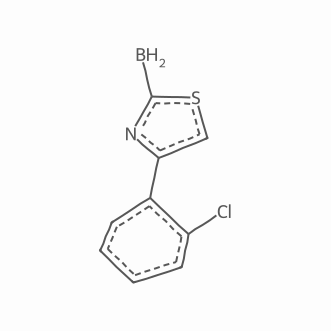 Bc1nc(-c2ccccc2Cl)cs1